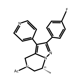 CC(=O)N1Cc2c(-c3ccncc3)c(-c3ccc(F)cc3)nn2[C@H](C)C1